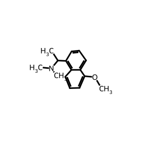 COc1cccc2c(C(C)N(C)C)cccc12